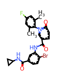 Cc1cc(F)cc(C)c1-n1cc(C(=O)Nc2cc(C(=O)NC3CC3)ccc2Br)ccc1=O